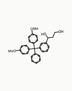 COc1ccc(C(c2ccccc2)(c2ccc(OC)cc2)c2cccc(C(O)CCO)c2)cc1